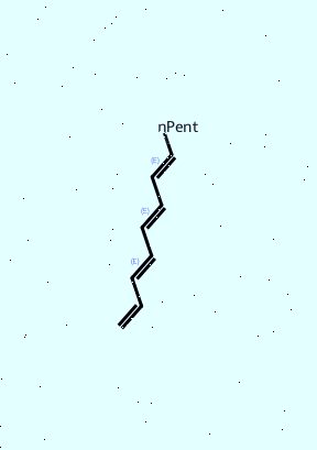 C=C/C=C/C=C/C=C/CCCCC